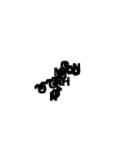 CCC(=O)CCCCC[C@H](NC(=O)[C@H]1CC12CCN(C)CC2)c1ncc(-c2cc3cccnc3cc2OC)o1